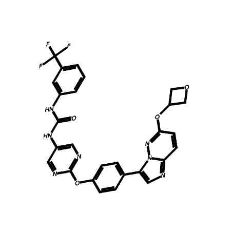 O=C(Nc1cnc(Oc2ccc(-c3cnc4ccc(OC5COC5)nn34)cc2)nc1)Nc1cccc(C(F)(F)F)c1